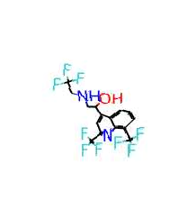 OC(CNCC(F)(F)F)c1cc(C(F)(F)F)nc2c(C(F)(F)F)cccc12